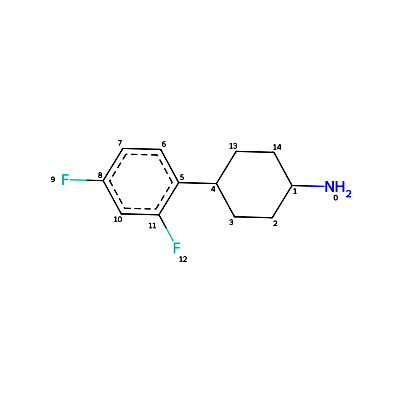 NC1CCC(c2ccc(F)cc2F)CC1